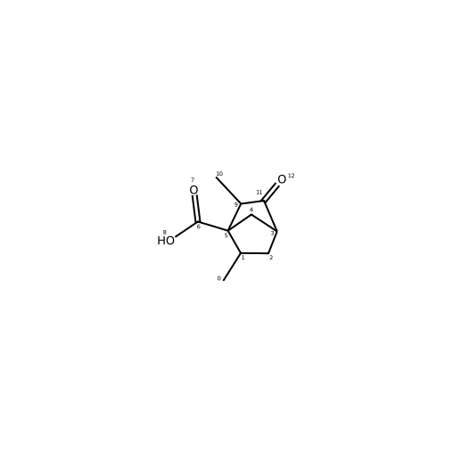 CC1CC2CC1(C(=O)O)C(C)C2=O